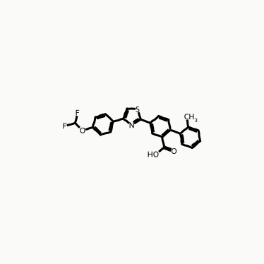 Cc1ccccc1-c1ccc(-c2nc(-c3ccc(OC(F)F)cc3)cs2)cc1C(=O)O